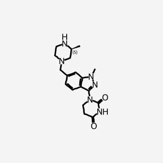 C[C@H]1CN(Cc2ccc3c(N4CCC(=O)NC4=O)nn(C)c3c2)CCN1